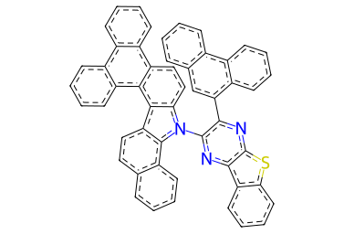 c1ccc2c(c1)cc(-c1nc3sc4ccccc4c3nc1-n1c3ccc4c5ccccc5c5ccccc5c4c3c3ccc4ccccc4c31)c1ccccc12